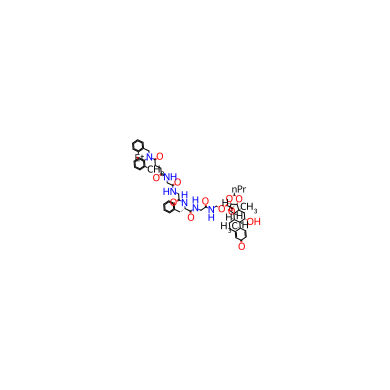 CCCC1O[C@@H]2C[C@H]3[C@@H]4CCC5=CC(=O)C=C[C@]5(C)[C@H]4[C@@H](O)C[C@]3(C)[C@]2(C(=O)COCNC(=O)CNC(=O)[C@H](Cc2ccccc2)NC(=O)CNC(=O)CNC(=O)CCC(=O)N(Cc2ccccc2CC)c2ccccc2C)O1